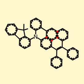 CC1(C)c2ccccc2-c2cccc(N(c3ccc(C(=C(c4ccccc4)c4ccccc4)c4ccccc4)cc3)c3ccccc3-c3ccccc3)c21